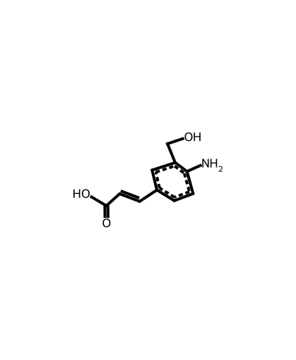 Nc1ccc(/C=C/C(=O)O)cc1CO